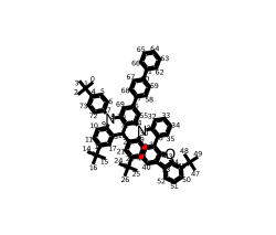 CC(C)(C)c1ccc(N2c3ccc(C(C)(C)C)cc3C3c4cc(C(C)(C)C)ccc4N(c4ccccc4-c4cccc5c4oc4c(C(C)(C)C)cccc45)c4cc(-c5ccc(-c6ccccc6)cc5)cc2c43)cc1